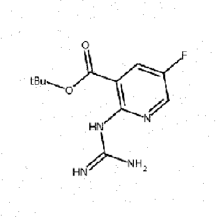 CC(C)(C)OC(=O)c1cc(F)cnc1NC(=N)N